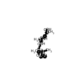 C=CCOC(=O)N1c2cc(OCCCC(=O)Nc3cn(C)c(C(=O)Nc4ccc(-c5cc(C(=O)O)n(C)c5)cc4)n3)c(C)cc2C(=O)N2CCCC[C@H]2C1OC1CCCCO1